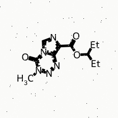 CCC(CC)OC(=O)c1ncn2c(=O)n(C)nnc12